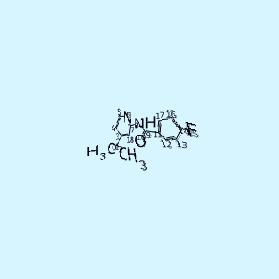 CC(C)c1ccnc(NC(=O)c2ccc(F)cc2)c1